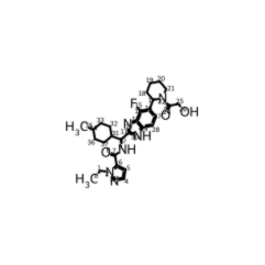 CCn1nccc1C(=O)NC(c1nc2c(F)c(C3CCCCN3C(=O)CO)ccc2[nH]1)C1CCC(C)CC1